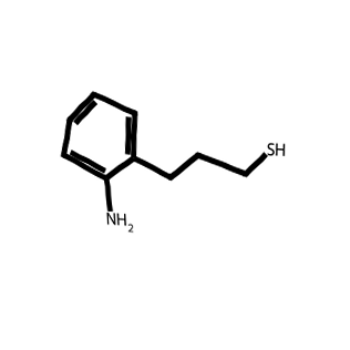 Nc1ccccc1CCCS